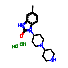 Cc1ccc2c(c1)[nH]c(=O)n2C1CCN(C2CCNCC2)CC1.Cl.Cl